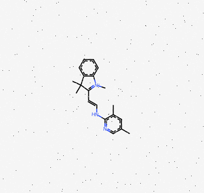 Cc1cnc(NC=CC2=[N+](C)c3ccccc3C2(C)C)c(C)c1